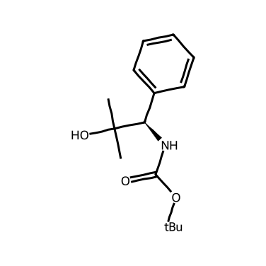 CC(C)(C)OC(=O)N[C@H](c1ccccc1)C(C)(C)O